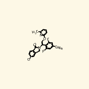 COc1cc(F)c(C(COc2cccc(C)n2)N2Cc3cc(Cl)ccc3C2=O)c(F)c1